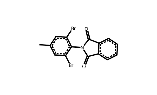 Cc1cc(Br)c(N2C(=O)c3ccccc3C2=O)c(Br)c1